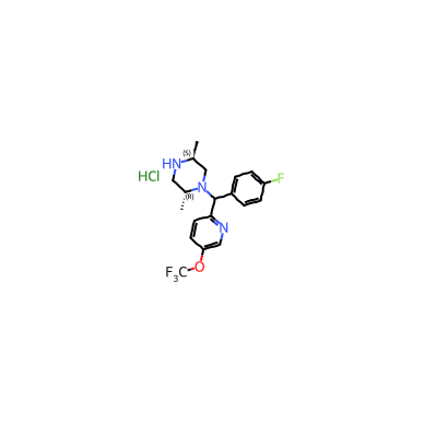 C[C@@H]1CN[C@@H](C)CN1C(c1ccc(F)cc1)c1ccc(OC(F)(F)F)cn1.Cl